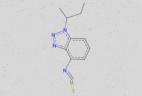 CCC(C)n1nnc2c(N=C=S)cccc21